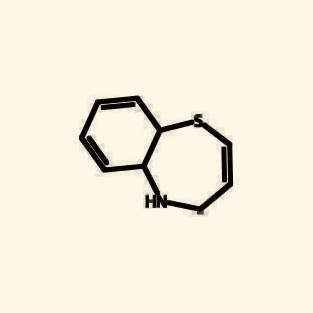 [C]1C=CSC2C=CC=CC2N1